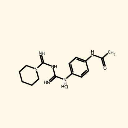 CC(=O)Nc1ccc(NC(=N)NC(=N)N2CCCCC2)cc1.Cl